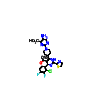 COC(=O)C1=C(C2CCN(c3ncc(N)c(C(=O)O)n3)CC2)NC(c2nccs2)=NC1c1ccc(F)c(F)c1Cl